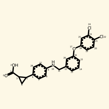 O=C(O)C1CC1c1ccc(NCc2cccc(Oc3ccc(Cl)c(Cl)c3)c2)cc1